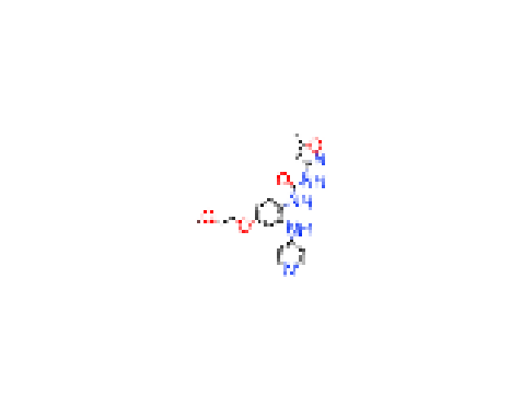 COCCOc1ccc(NC(=O)Nc2cc(C)on2)c(Nc2ccncc2)c1